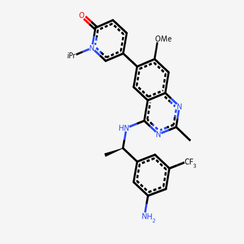 COc1cc2nc(C)nc(N[C@H](C)c3cc(N)cc(C(F)(F)F)c3)c2cc1-c1ccc(=O)n(C(C)C)c1